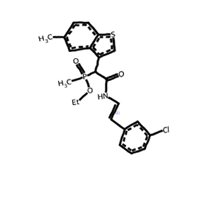 CCOP(C)(=O)C(C(=O)N/C=C/c1cccc(Cl)c1)c1csc2ccc(C)cc12